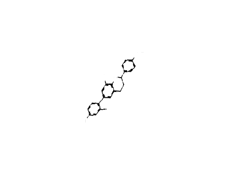 CCc1ccc(-c2cc(F)c3c(c2)CCC(c2ccc(C(F)(F)F)cc2)O3)c(F)c1